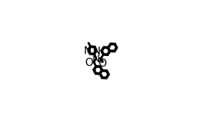 Cc1cnc(N(C(=O)c2ccc3ccccc3c2)C(=O)c2ccc3ccccc3c2)cn1